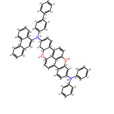 C1=C2c3ccc4c5c(ccc(c35)OC2CC(N(c2ccc(-c3ccccc3)cc2)c2cc3ccccc3c3ccccc23)=C1)-c1ccc(N(c2ccccc2)c2ccccc2)cc1O4